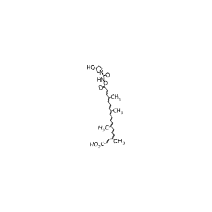 CC(=C/C=C/C(C)=C/C=C/C=C(C)/C=C/C=C(C)/C=C/C(=O)ONC(=O)N1CC[C@@H](O)C1)/C=C/C(=O)O